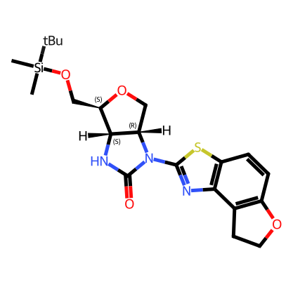 CC(C)(C)[Si](C)(C)OC[C@H]1OC[C@H]2[C@@H]1NC(=O)N2c1nc2c3c(ccc2s1)OCC3